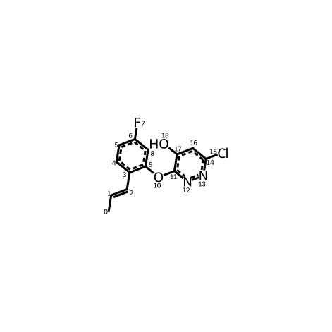 CC=Cc1ccc(F)cc1Oc1nnc(Cl)cc1O